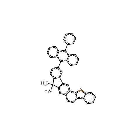 CC1(C)c2ccc(-c3c4ccccc4c(-c4ccccc4)c4ccccc34)cc2-c2cc3c(ccc4c5ccccc5sc34)cc21